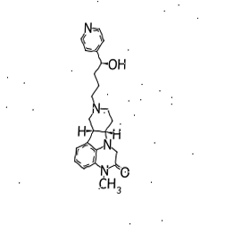 CN1C(=O)CN2c3c(cccc31)[C@@H]1CN(CCC[C@H](O)c3ccncc3)CC[C@@H]12